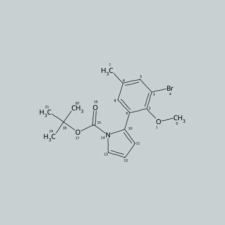 COc1c(Br)cc(C)cc1-c1cccn1C(=O)OC(C)(C)C